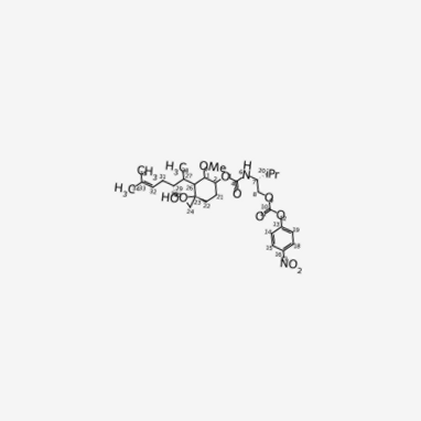 COC1C(OC(=O)N[C@@H](COC(=O)Oc2ccc([N+](=O)[O-])cc2)C(C)C)CC[C@]2(CO2)C1C(C)[C@H](O)CC=C(C)C